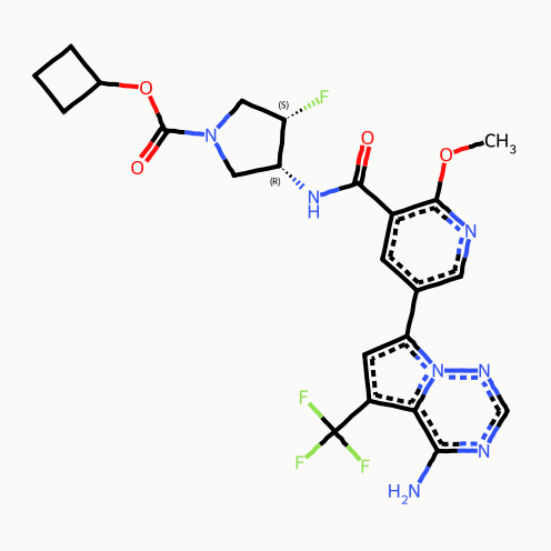 COc1ncc(-c2cc(C(F)(F)F)c3c(N)ncnn23)cc1C(=O)N[C@@H]1CN(C(=O)OC2CCC2)C[C@@H]1F